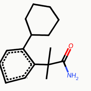 CC(C)(C(N)=O)c1[c]cccc1C1CCCCC1